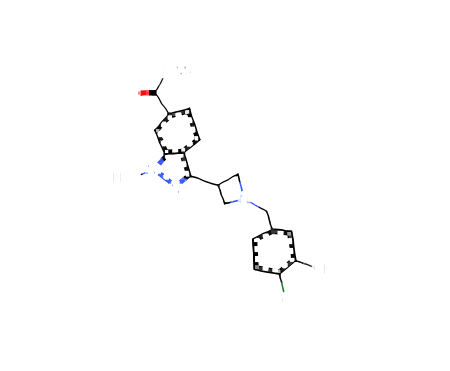 COC(=O)c1ccc2c(C3CN(Cc4ccc(Cl)c(C(F)(F)F)c4)C3)nn(C)c2c1